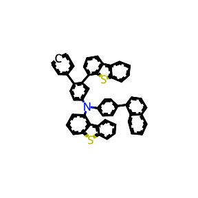 c1ccc(-c2ccc(N(c3ccc(-c4cccc5ccccc45)cc3)c3cccc4sc5ccccc5c34)cc2-c2cccc3c2sc2ccccc23)cc1